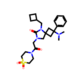 CN(C)C1(c2ccccc2)CC2(CN(CC(=O)N3CCS(=O)(=O)CC3)C(=O)N2CC2CCC2)C1